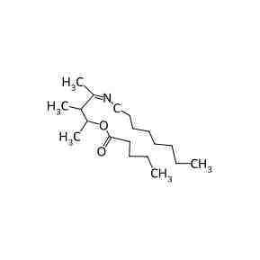 CCCCCCCCN=C(C)C(C)C(C)OC(=O)CCCC